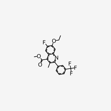 CCOc1cc2nc(-c3cccc(C(F)(F)F)c3)c(C)c(C(=O)OC)c2cc1F